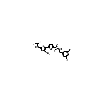 CC(=O)Nc1nc(C)c(-c2ccc(S(=O)(=O)NCc3cc(Cl)cc(Cl)c3)o2)s1